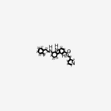 O=C(NCc1cccnc1)c1ccc2[nH]c3c(c2c1)CCCC3NCCc1ccccc1F